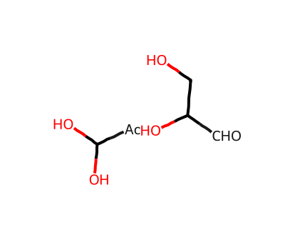 CC(=O)C(O)O.O=CC(O)CO